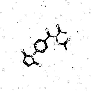 CC(=O)NN(C(C)=O)C(=O)c1ccc(N2C(=O)C=CC2=O)cc1